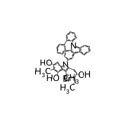 C/C=C(Br)/C(O)=C\c1c(C)c2c(O)c(C)c(O)cc2n1-c1ccc2c(c1)c1ccccc1n2-c1ccccc1-c1ccccc1